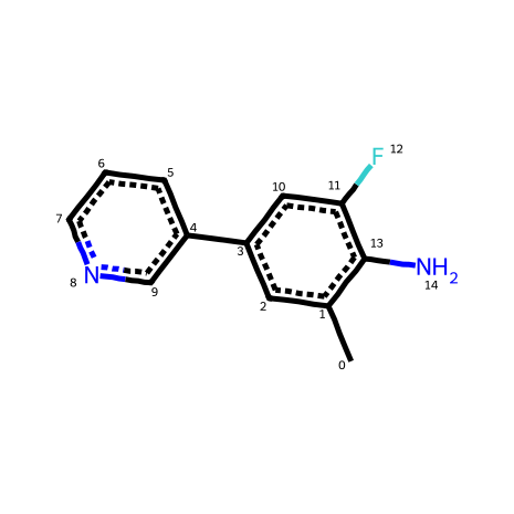 Cc1cc(-c2cccnc2)cc(F)c1N